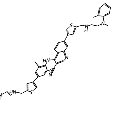 Cc1ccccc1N(C)CCNCc1cc(-c2ccc3c(Nc4c(C)cc(-c5csc(CNCCN(C)C)c5)cc4Cl)c(C#N)cnc3c2)cs1